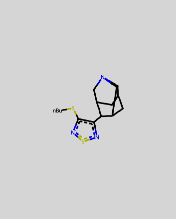 CCCCSc1nsnc1C1C2CC3CC1CN(C3)C2